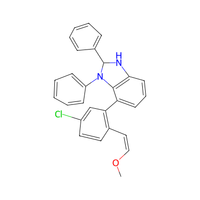 CO/C=C\c1ccc(Cl)cc1-c1cccc2c1N(c1ccccc1)C(c1ccccc1)N2